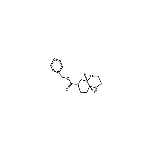 O=C(OCc1ccccc1)N1CC[C@H]2NCCO[C@H]2C1